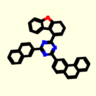 C1=C(c2nc(-c3ccc4ccccc4c3)nc(-c3ccc4ccc5ccccc5c4c3)n2)c2c(oc3ccccc23)CC1